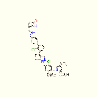 COc1cc(Cn2ncc3c(-c4cccc(-c5ccc(CNC[C@@H]6CCC(=O)N6)cc5)c4Cl)cccc32)c(Cl)cc1CN1C[C@H](C)C[C@H]1C(=O)O